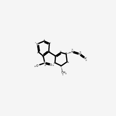 C[C@@H]1CC(c2ccncc2[N+](=O)[O-])=C[C@H](N=[N+]=[N-])C1